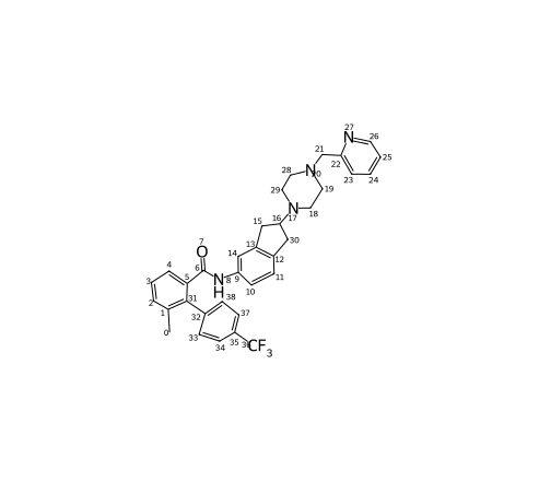 Cc1cccc(C(=O)Nc2ccc3c(c2)CC(N2CCN(Cc4ccccn4)CC2)C3)c1-c1ccc(C(F)(F)F)cc1